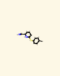 Cc1ccc(Sc2cccc(C#N)n2)cc1